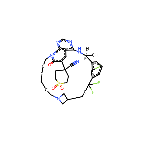 C[C@@H]1Nc2ncnc3c2cc(C2(C#N)CCS(=O)(=O)CC2)c(=O)n3CCCCCCN2CC(CCC(F)(F)c3cccc1c3F)C2